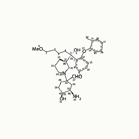 COCCCC[C@@](O)(c1ccccc1Oc1ccccc1C)[C@@H]1CCCN(C2(C=O)CC[C@H](O)[C@H](N)C2)C1